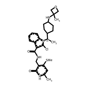 CSc1cc(C)[nH]c(=O)c1CNC(=O)c1c(Cl)n([C@H](C)C2CCC(NC3(C)COC3)CC2)c2ccccc12